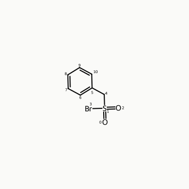 O=S(=O)(Br)Cc1ccccc1